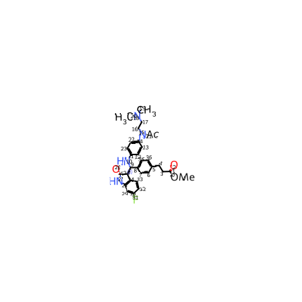 COC(=O)CCc1ccc(/C(Nc2ccc(N(CCN(C)C)C(C)=O)cc2)=C2/C(=O)Nc3cc(F)ccc32)cc1